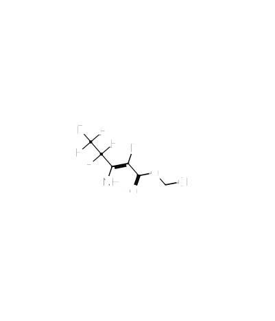 CCOC(=O)C(F)=C(N)C(F)(F)C(F)(F)F